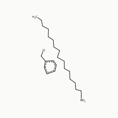 CCCCCCCCCCCCCCCCN.ClCc1ccccc1